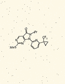 CSc1ncc2c(=O)n(C(C)C)n(-c3cccc(C4(C(F)(F)F)CC4)n3)c2n1